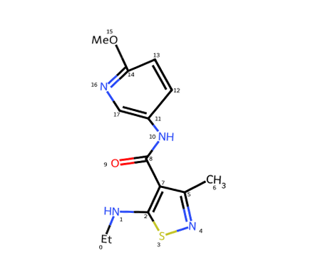 [CH2]CNc1snc(C)c1C(=O)Nc1ccc(OC)nc1